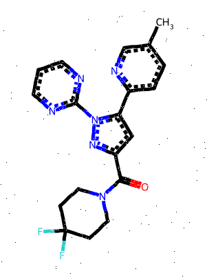 Cc1ccc(-c2cc(C(=O)N3CCC(F)(F)CC3)nn2-c2ncccn2)nc1